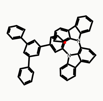 c1ccc(-c2cc(-c3ccccc3)cc(-c3cccc(-n4c5ccccc5c5cccc(-n6c7ccccc7c7ccccc76)c54)c3)c2)cc1